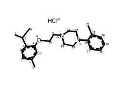 Cc1ccc(C(C)C)c(OCCN2CCN(c3ccccc3C)CC2)c1.Cl